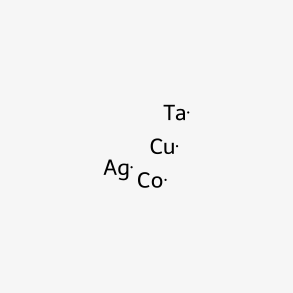 [Ag].[Co].[Cu].[Ta]